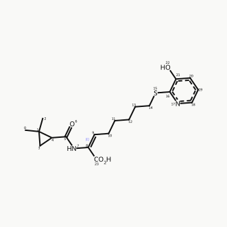 CC1(C)CC1C(=O)N/C(=C/CCCCCSc1ncccc1O)C(=O)O